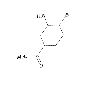 CCC1CCC(C(=O)OC)CC1N